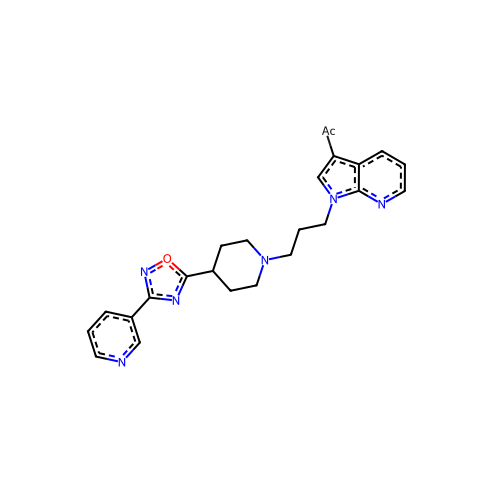 CC(=O)c1cn(CCCN2CCC(c3nc(-c4cccnc4)no3)CC2)c2ncccc12